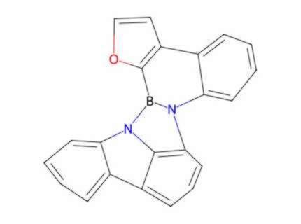 c1ccc2c(c1)-c1ccoc1B1N2c2cccc3c4ccccc4n1c23